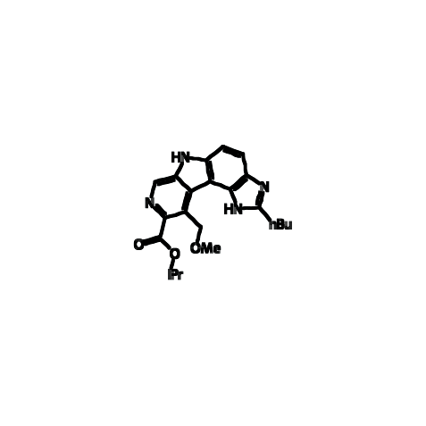 CCCCc1nc2ccc3[nH]c4cnc(C(=O)OC(C)C)c(COC)c4c3c2[nH]1